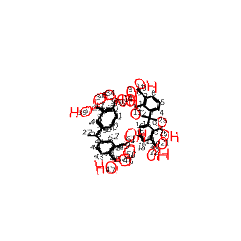 CC(C)(c1cccc(C(=O)O)c1C(=O)O)c1cccc(C(=O)O)c1C(=O)O.CC(c1ccc(C(=O)O)c(C(=O)O)c1)c1ccc(C(=O)O)c(C(=O)O)c1